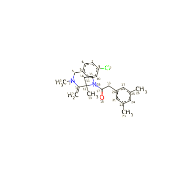 C=C(N(C)Cc1ccc(Cl)cc1)C1(C)CCN1C(=O)Cc1cc(C)cc(C)c1